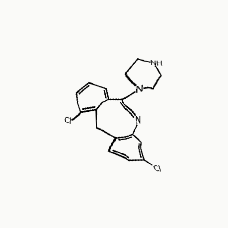 Clc1ccc2c(c1)N=C(N1CCNCC1)c1cccc(Cl)c1C2